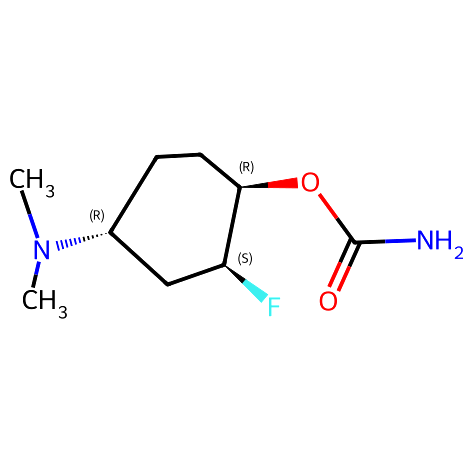 CN(C)[C@@H]1CC[C@@H](OC(N)=O)[C@@H](F)C1